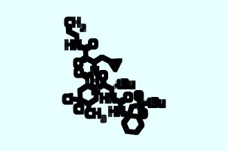 C=CCNC(=O)C(=O)C(CC1CC1)NC(=O)[C@@H]1CC(Cl)(Cl)C(C)CN1C(=O)[C@@H](NC(=O)NC1(CS(=O)(=O)C(C)(C)C)CCCCC1)C(C)(C)C